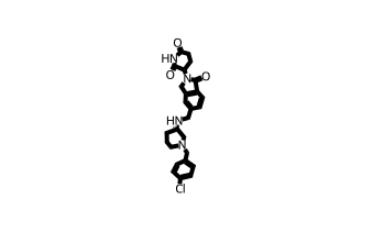 O=C1CCC(N2Cc3cc(CN[C@@H]4CCCN(Cc5ccc(Cl)cc5)C4)ccc3C2=O)C(=O)N1